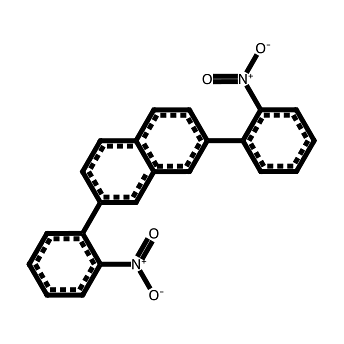 O=[N+]([O-])c1ccccc1-c1ccc2ccc(-c3ccccc3[N+](=O)[O-])cc2c1